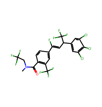 CN(CC(F)(F)F)C(=O)c1ccc(C(F)=CC(c2cc(Cl)c(Cl)c(Cl)c2)C(F)(F)F)cc1C(F)(F)F